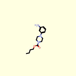 CCCCOC(=O)N1CCN(c2cccc(N)c2)CC1